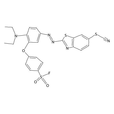 CCN(CC)c1ccc(N=Nc2nc3ccc(SC#N)cc3s2)cc1Oc1ccc(S(=O)(=O)F)cc1